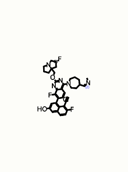 C#Cc1c(F)ccc2cc(O)cc(-c3c(Cl)cc4c(N5CCCC(/C=N\C)CC5)nc(OCC56CCCN5C[C@H](F)C6)nc4c3F)c12